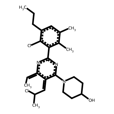 C/C=c1/nc(-c2c(C)c(C)cc(CCC)c2Cl)nc(N2CCC(O)CC2)/c1=C/C(C)Cl